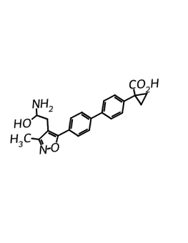 Cc1noc(-c2ccc(-c3ccc(C4(C(=O)O)CC4)cc3)cc2)c1CC(N)O